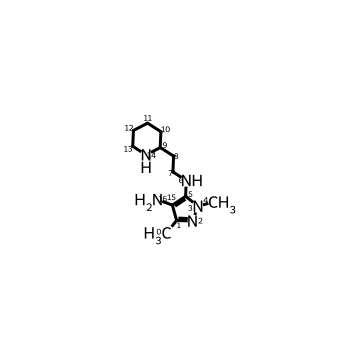 Cc1nn(C)c(NCCC2CCCCN2)c1N